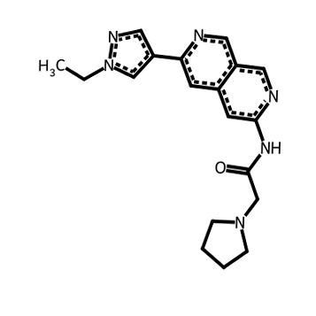 CCn1cc(-c2cc3cc(NC(=O)CN4CCCC4)ncc3cn2)cn1